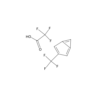 FC(F)(F)c1cc2cc-2c1.O=C(O)C(F)(F)F